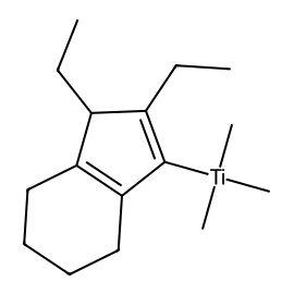 CCC1=[C]([Ti]([CH3])([CH3])[CH3])C2=C(CCCC2)C1CC